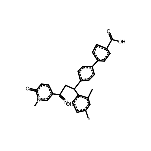 Cc1cc(F)ccc1C(C/C(=N\O)c1ccc(=O)n(C)c1)c1ccc(-c2ccc(C(=O)O)cc2)cc1